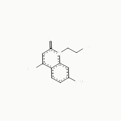 COc1ccc2c(C)cc(=O)n(CCC=O)c2c1